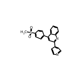 CS(=O)(=O)c1ccc(-c2cc(-c3ccncc3)nc3ccccc23)cc1